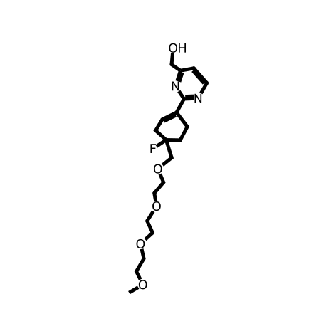 COCCOCCOCCOCC1(F)CC=C(c2nccc(CO)n2)CC1